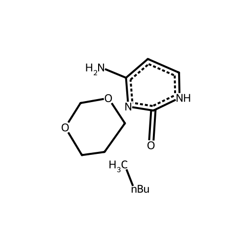 C1COCOC1.CCCCC.Nc1cc[nH]c(=O)n1